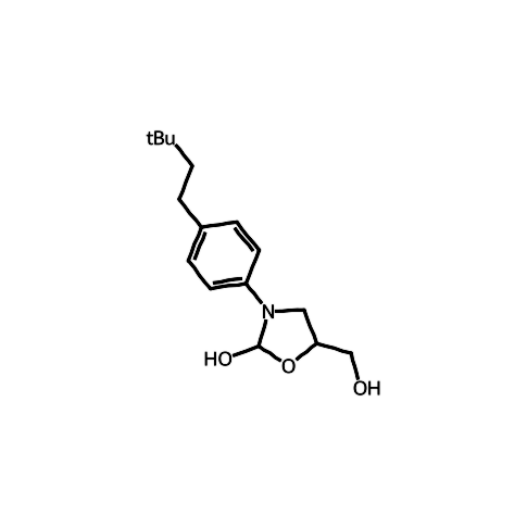 CC(C)(C)CCc1ccc(N2CC(CO)OC2O)cc1